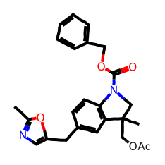 CC(=O)OCC1(C)CN(C(=O)OCc2ccccc2)c2ccc(Cc3cnc(C)o3)cc21